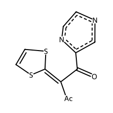 CC(=O)C(C(=O)c1cnccn1)=C1SC=CS1